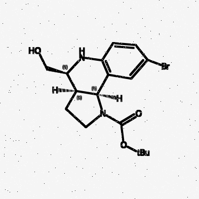 CC(C)(C)OC(=O)N1CC[C@@H]2[C@H]1c1cc(Br)ccc1N[C@@H]2CO